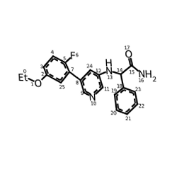 CCOc1ccc(F)c(-c2cncc(NC(C(N)=O)c3ccccc3)c2)c1